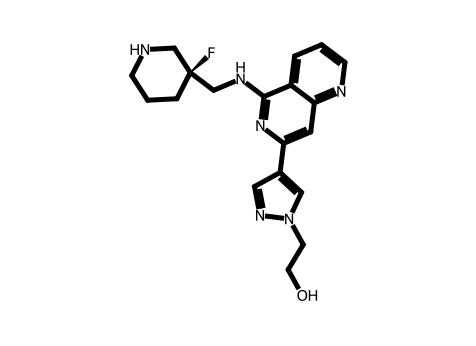 OCCn1cc(-c2cc3ncccc3c(NC[C@]3(F)CCCNC3)n2)cn1